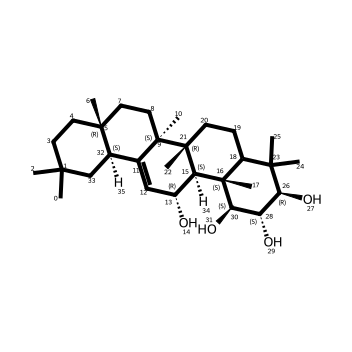 CC1(C)CC[C@]2(C)CC[C@]3(C)C(=C[C@@H](O)[C@@H]4[C@]5(C)C(CC[C@]43C)C(C)(C)[C@@H](O)[C@H](O)[C@H]5O)[C@H]2C1